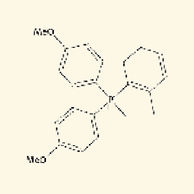 COc1ccc([PH](C)(C2=C(C)C=CCC2)c2ccc(OC)cc2)cc1